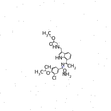 C=C(/N=C(\ON)c1ccc(OC(C)C)c(Cl)c1)c1cccc2c(CNCC(=O)OCC)c[nH]c12